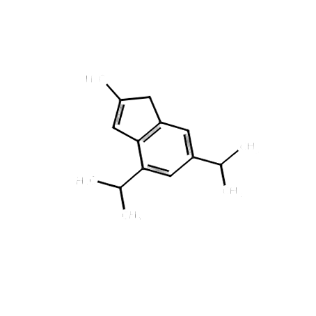 CC1=Cc2c(cc(C(C)C)cc2C(C)C)[CH]1